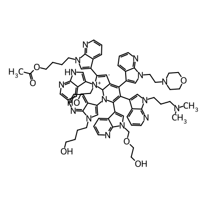 CC(=O)OCCCCn1cc(C2=[C]C3=C(c4cn(CCN5CCOCC5)c5ncccc45)C(c4cn(CCCN(C)C)c5ncccc45)=C(c4cn(COCCO)c5ncccc45)N(c4cn(CCCCO)c5ncccc45)C3[N+]2(CCO)c2c[nH]c3ncccc23)c2cccnc21